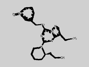 CCc1cnn2c(NCc3ccc[n+]([O-])c3)nc(N3CCCC[C@@H]3CCO)nc12